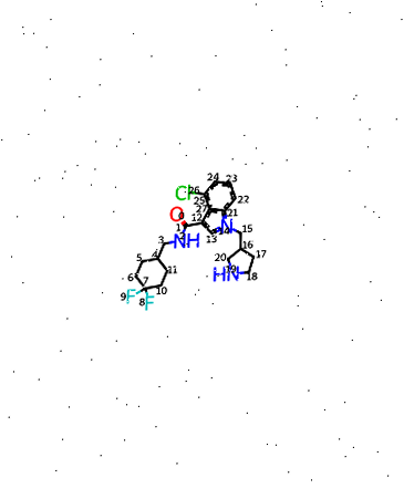 O=C(NCC1CCC(F)(F)CC1)c1cn(CC2CCNC2)c2cccc(Cl)c12